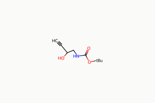 C#CC(O)CNC(=O)OC(C)(C)C